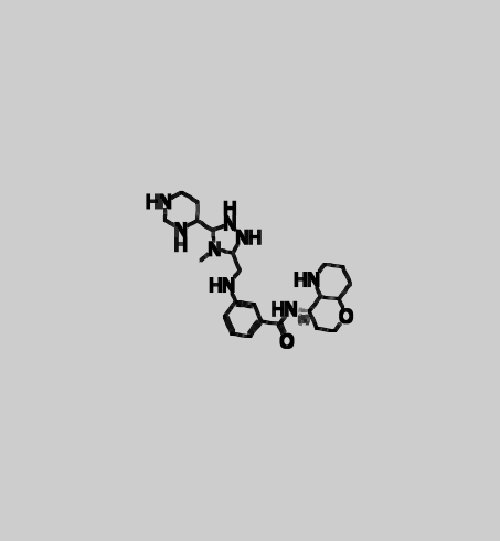 CN1C(CNc2cccc(C(=O)N[C@H]3CCOC4CCCNC43)c2)NNC1C1CCNCN1